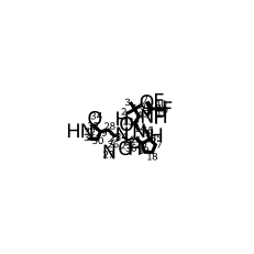 CC(C)(C)[C@H](NC(=O)C(F)(F)F)C(=O)N1C[C@@H]2CCC[C@@H]2[C@H]1C(=O)N[C@H](C#N)CC1CCNC1=O